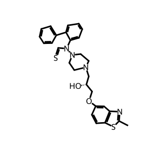 Cc1nc2cc(OC[C@H](O)CN3CCN(N(C=S)c4ccccc4-c4ccccc4)CC3)ccc2s1